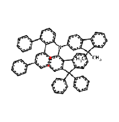 CC1(C)c2ccccc2-c2ccc(N(c3cccc(-c4ccccc4)c3-c3cccc(-c4ccccc4)c3)c3cccc4c3-c3ccccc3C4(c3ccccc3)c3ccccc3)cc21